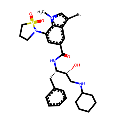 CCc1cn(C)c2c(N3CCCS3(=O)=O)cc(C(=O)N[C@@H](Cc3ccccc3)[C@H](O)CNC3CCCCC3)cc12